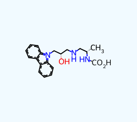 C[C@@H](CNC[C@H](O)Cn1c2ccccc2c2ccccc21)NC(=O)O